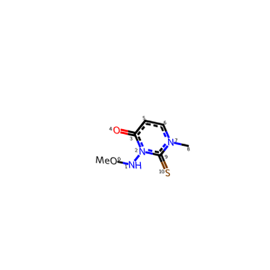 CONn1c(=O)ccn(C)c1=S